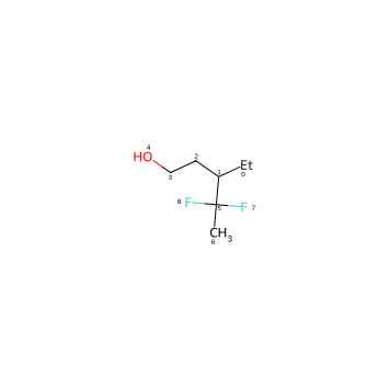 CCC(CCO)C(C)(F)F